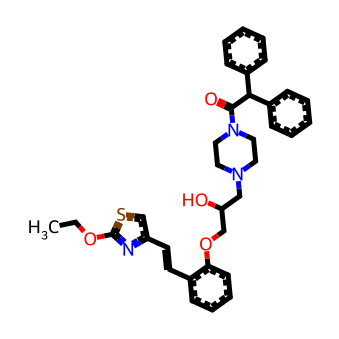 CCOc1nc(C=Cc2ccccc2OCC(O)CN2CCN(C(=O)C(c3ccccc3)c3ccccc3)CC2)cs1